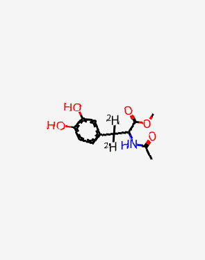 [2H]C([2H])(c1ccc(O)c(O)c1)C(NC(C)=O)C(=O)OC